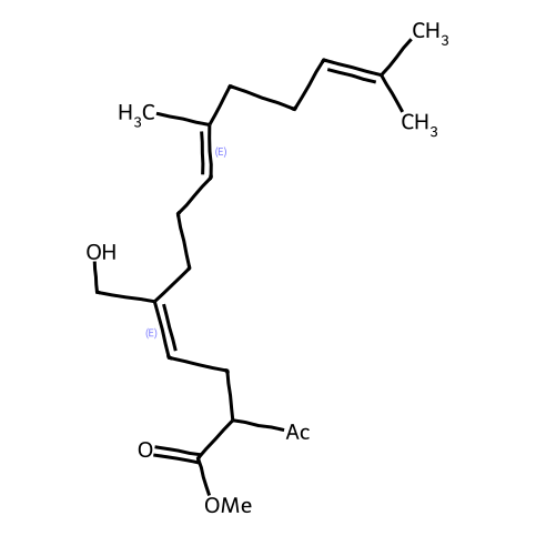 COC(=O)C(C/C=C(/CO)CC/C=C(\C)CCC=C(C)C)C(C)=O